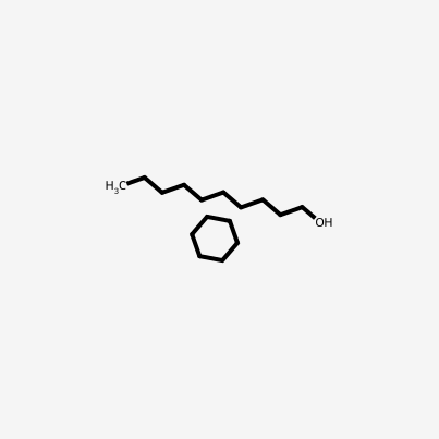 C1CCCCC1.CCCCCCCCCCO